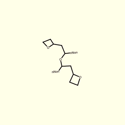 CCCCCCCCCC(CC1CCO1)OC(CCCCCCCCC)CC1CCO1